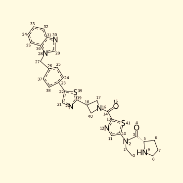 CCN(C(=O)[C@@H]1CCCN1)c1cnc(C(=O)N2CC(c3ncc(-c4ccc(Cn5cnc6ccccc65)cc4)s3)C2)s1